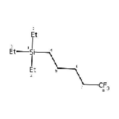 CC[Si](CC)(CC)CCCCC(F)(F)F